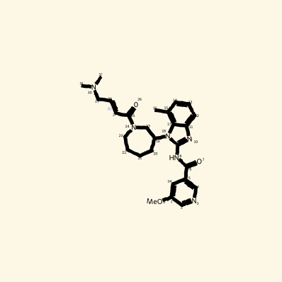 COc1cncc(C(=O)Nc2nc3cccc(C)c3n2C2CCCCN(C(=O)/C=C/CN(C)C)C2)c1